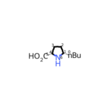 CCCC[C@H]1CC[C@@H](C(=O)O)N1